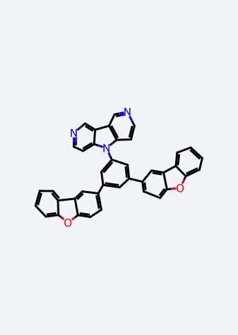 c1ccc2c(c1)oc1ccc(-c3cc(-c4ccc5oc6ccccc6c5c4)cc(-n4c5ccncc5c5cnccc54)c3)cc12